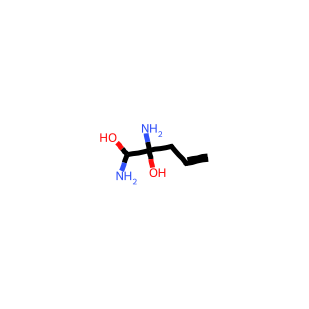 C=CCC(N)(O)C(N)O